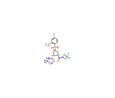 N#CC1(NC(=O)[C@@H]2C[C@@H](S(=O)(=O)c3ccc(F)cc3C(F)(F)F)C[C@H]2C(=O)N2CC(F)(F)C2)CC1